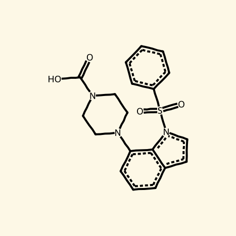 O=C(O)N1CCN(c2cccc3ccn(S(=O)(=O)c4ccccc4)c23)CC1